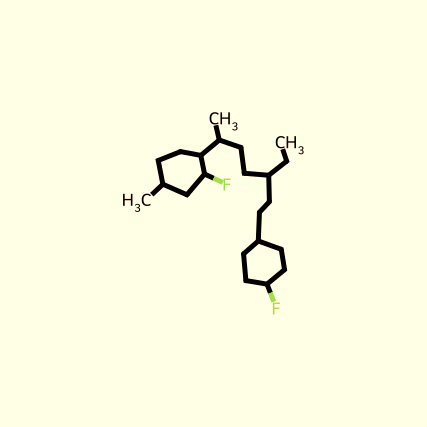 CCC(CCC1CCC(F)CC1)CCC(C)C1CCC(C)CC1F